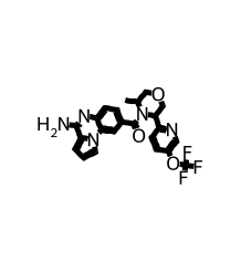 CC1COCC(c2ccc(OC(F)(F)F)cn2)N1C(=O)c1ccc2nc(N)c3cccn3c2c1